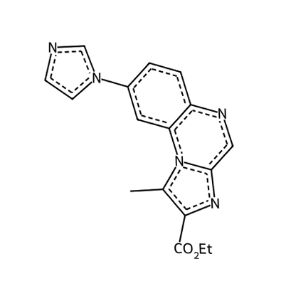 CCOC(=O)c1nc2cnc3ccc(-n4ccnc4)cc3n2c1C